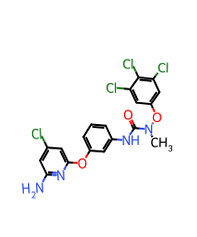 CN(Oc1cc(Cl)c(Cl)c(Cl)c1)C(=O)Nc1cccc(Oc2cc(Cl)cc(N)n2)c1